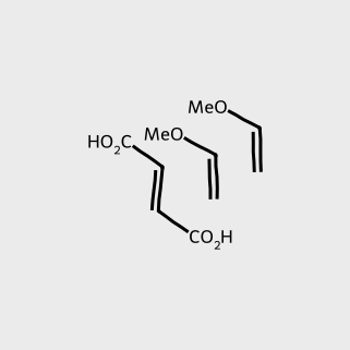 C=COC.C=COC.O=C(O)C=CC(=O)O